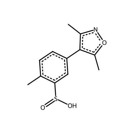 Cc1ccc(-c2c(C)noc2C)cc1S(=O)O